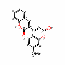 COc1ccc2c(-c3cc4ccccc4oc3=O)cc(=O)oc2c1